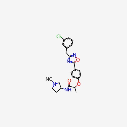 CC(Oc1ccc(-c2nc(Cc3cccc(Cl)c3)no2)cc1)C(=O)NC1CCN(C#N)C1